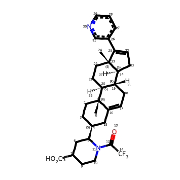 C[C@]12CC[C@H](C3CC(C(=O)O)CCN3C(=O)C(F)(F)F)CC1=CC[C@@H]1[C@@H]2CC[C@]2(C)C(c3cccnc3)=CC[C@@H]12